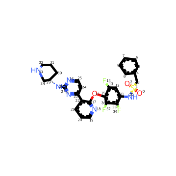 O=S(=O)(Cc1ccccc1)Nc1cc(F)c(Oc2ncccc2-c2ccnc(N[C@H]3CCCNC3)n2)c(F)c1F